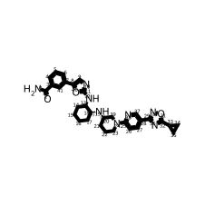 NC(=O)c1cccc(-c2cnc(N[C@@H]3CCCC[C@H]3N[C@H]3CCCN(c4ccc(-c5noc(C6CC6)n5)cn4)C3)o2)c1